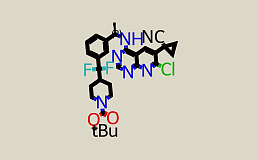 C[C@@H](Nc1ncnc2nc(Cl)c(C3(C#N)CC3)cc12)c1cccc(C(F)(F)C2CCN(C(=O)OC(C)(C)C)CC2)c1